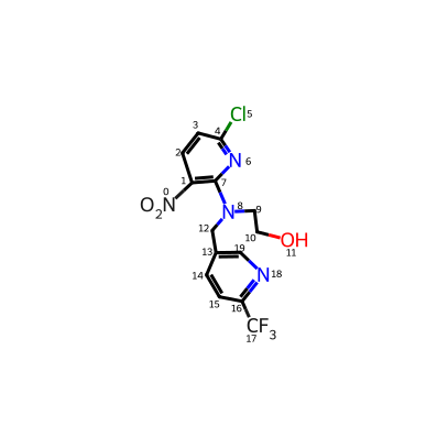 O=[N+]([O-])c1ccc(Cl)nc1N(CCO)Cc1ccc(C(F)(F)F)nc1